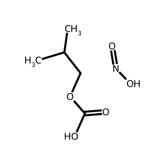 CC(C)COC(=O)O.O=NO